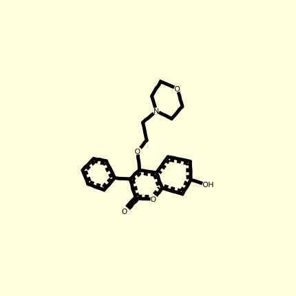 O=c1oc2cc(O)ccc2c(OCCN2CCOCC2)c1-c1ccccc1